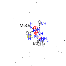 CCC(C)(C)CC(CCC(NC(=O)CN(CCc1c[nH]c2ccccc12)C(=O)CN(CCc1c[nH]c2ccccc12)C(=O)CNCCOC)C(=O)NCCS)NC(N)=O